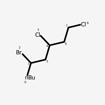 CCCCC(Br)CC(Cl)CCCl